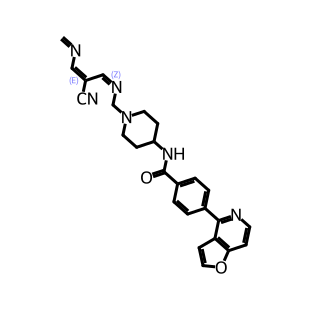 C=N/C=C(C#N)\C=N/CN1CCC(NC(=O)c2ccc(-c3nccc4occc34)cc2)CC1